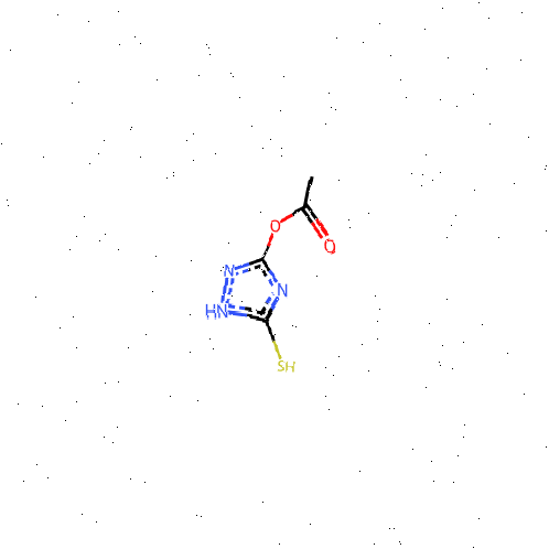 CC(=O)Oc1n[nH]c(S)n1